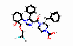 O=C(O)N1CCN(C(=O)c2ncn(C3CCCCC3(O)COCC(F)F)c2-c2ccccc2)[C@H](Cc2ccccc2)C1